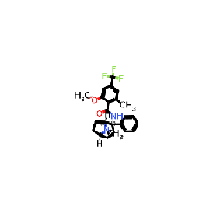 COc1cc(C(F)(F)F)cc(C)c1C(=O)N[C@]1(c2ccccc2)CC[C@H]2CC[C@@H]1N2C